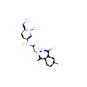 CC(C)c1nn(CC(=O)NC2=CN(N)/C(=C\N)C=C2)c(=O)c2ccc(C(F)(F)F)cc12